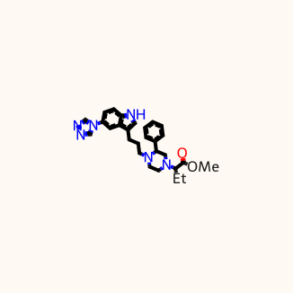 CCC(C(=O)OC)N1CCN(CCCc2c[nH]c3ccc(-n4cnnc4)cc23)C(c2ccccc2)C1